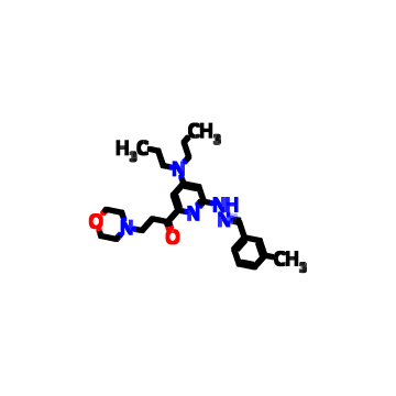 CCCN(CCC)c1cc(N/N=C/c2cccc(C)c2)nc(C(=O)CCN2CCOCC2)c1